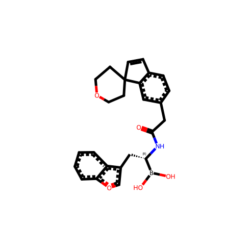 O=C(Cc1ccc2c(c1)C1(C=C2)CCOCC1)N[C@@H](Cc1coc2ccccc12)B(O)O